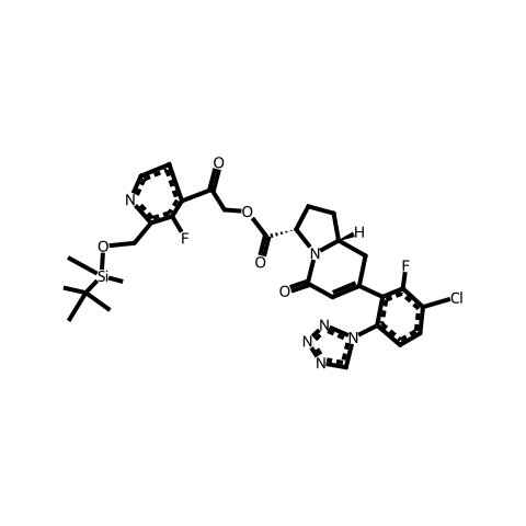 CC(C)(C)[Si](C)(C)OCc1nccc(C(=O)COC(=O)[C@@H]2CC[C@@H]3CC(c4c(-n5cnnn5)ccc(Cl)c4F)=CC(=O)N32)c1F